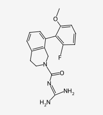 COc1cccc(F)c1-c1cccc2c1CN(C(=O)N=C(N)N)CC2